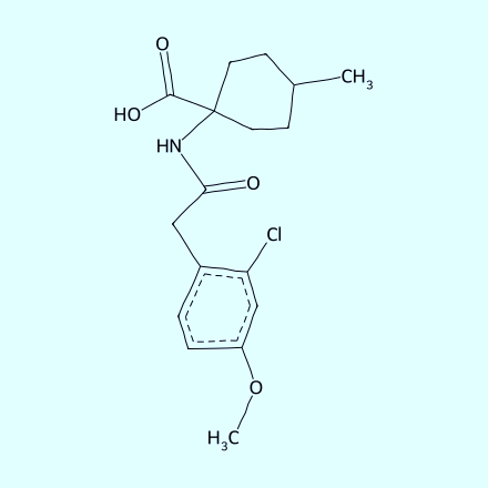 COc1ccc(CC(=O)NC2(C(=O)O)CCC(C)CC2)c(Cl)c1